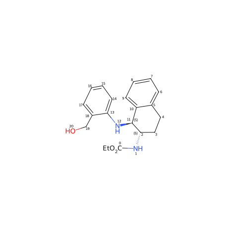 CCOC(=O)N[C@H]1CCc2ccccc2[C@@H]1Nc1ccccc1CO